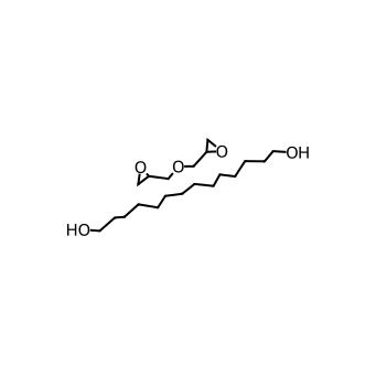 C(OCC1CO1)C1CO1.OCCCCCCCCCCCCCCO